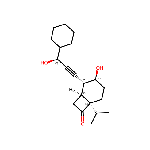 CC(C)[C@@]12CC[C@H](O)[C@@H](C#C[C@@H](O)C3CCCCC3)[C@@H]1CC2=O